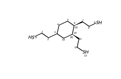 SCCC1CC[C@@H](CCS)[C@@H](CCS)C1